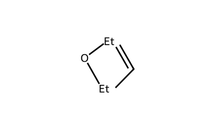 C=CC.CCOCC